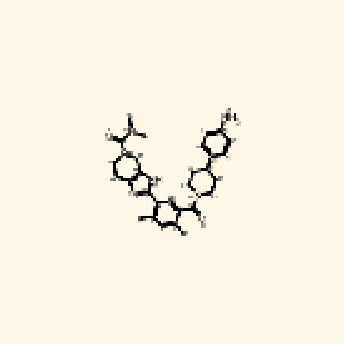 Cc1cc(C)c(-c2nc3c([nH]2)CN(C(=O)N(C)C)CC3)cc1C(=O)N1CCC(c2ccc(N)cc2)CC1